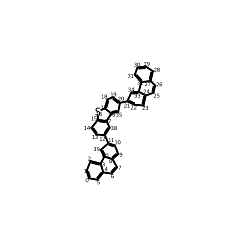 c1ccc2c(c1)ccc1ccc(-c3ccc4sc5ccc(-c6ccc7ccc8ccccc8c7c6)cc5c4c3)cc12